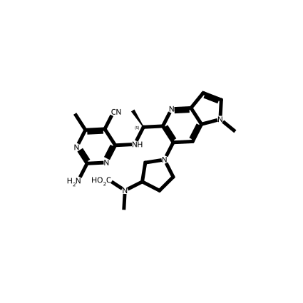 Cc1nc(N)nc(N[C@@H](C)c2nc3ccn(C)c3cc2N2CCC(N(C)C(=O)O)C2)c1C#N